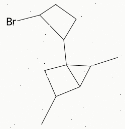 CC1CC2(C3CCC3Br)C(C)C12